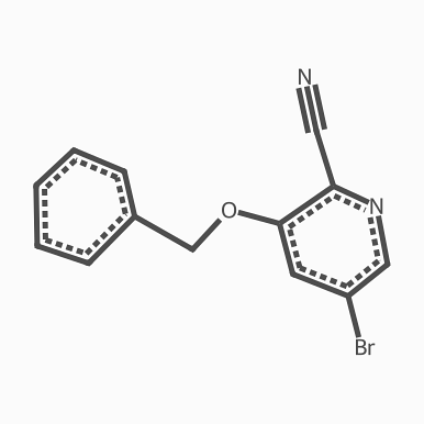 N#Cc1ncc(Br)cc1OCc1ccccc1